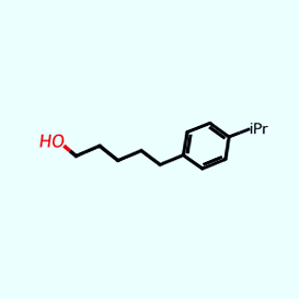 CC(C)c1ccc(CCCCCO)cc1